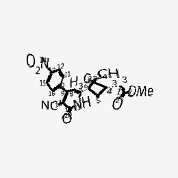 COC(=O)C[C@@H]1C[C@H](c2cc(-c3ccc([N+](=O)[O-])cc3)c(C#N)c(=O)[nH]2)C1(C)C